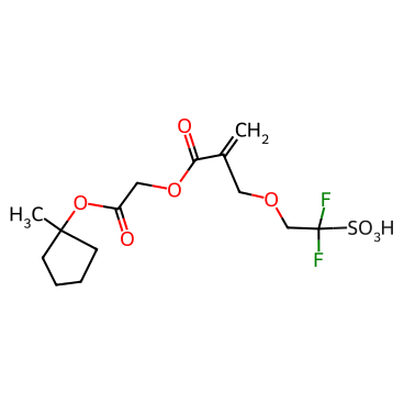 C=C(COCC(F)(F)S(=O)(=O)O)C(=O)OCC(=O)OC1(C)CCCC1